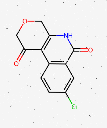 O=C1COCc2[nH]c(=O)c3cc(Cl)ccc3c21